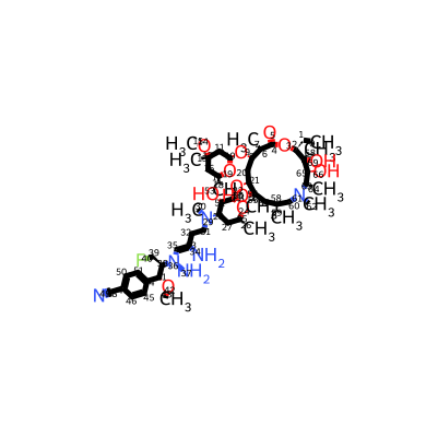 CC[C@H]1OC(=O)[C@H](C)[C@@H](O[C@H]2C[C@@](C)(OC)C[C@H](C)O2)C[C@@H](O[C@@H]2O[C@H](C)C[C@H](N(C)CC/C(N)=C/N(N)[C@H](CF)[C@H](OC)c3ccc(C#N)cc3)[C@H]2O)[C@](C)(O)C[C@@H](C)CN(C)[C@H](C)[C@@H](O)[C@]1(C)O